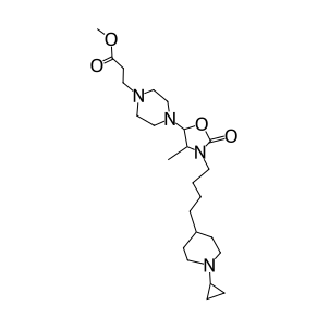 COC(=O)CCN1CCN(C2OC(=O)N(CCCCC3CCN(C4CC4)CC3)C2C)CC1